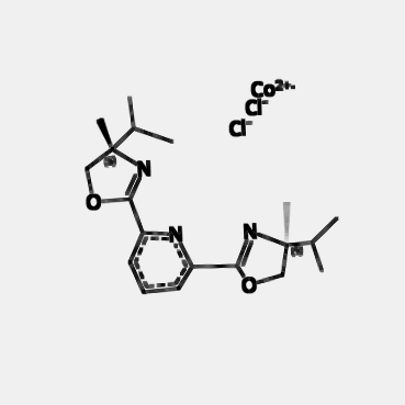 CC(C)[C@@]1(C)COC(c2cccc(C3=N[C@@](C)(C(C)C)CO3)n2)=N1.[Cl-].[Cl-].[Co+2]